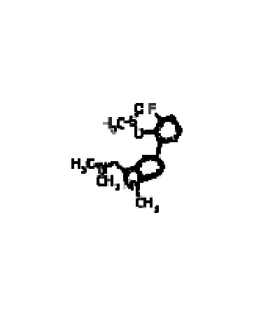 CN(C)Cc1nn(C)c2ccc(-c3cccc(F)c3OS(C)=O)cc12